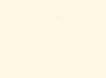 Cc1ccc(NC(=O)c2ccnc(C(F)(F)F)c2)cc1-c1ccc2c(c1)N1CCOCC1CC2(C)O